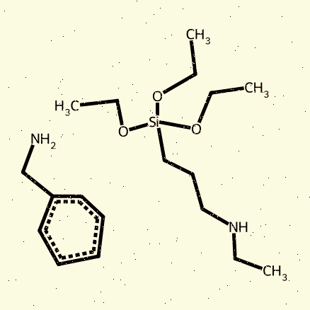 CCNCCC[Si](OCC)(OCC)OCC.NCc1ccccc1